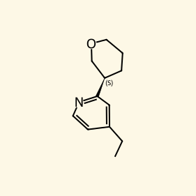 CCc1ccnc([C@@H]2CCCOC2)c1